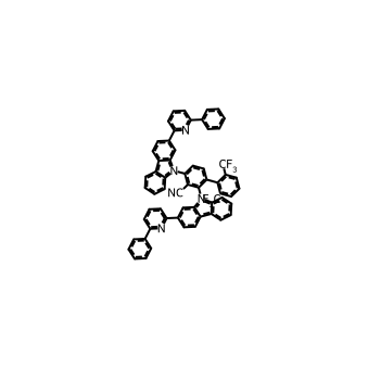 N#Cc1c(-n2c3ccccc3c3ccc(-c4cccc(-c5ccccc5)n4)cc32)ccc(-c2c(C(F)(F)F)cccc2C(F)(F)F)c1-n1c2ccccc2c2ccc(-c3cccc(-c4ccccc4)n3)cc21